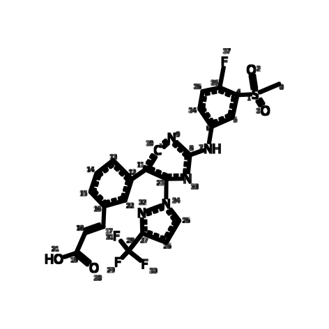 CS(=O)(=O)c1cc(Nc2ncc(-c3cccc(C=CC(=O)O)c3)c(-n3ccc(C(F)(F)F)n3)n2)ccc1F